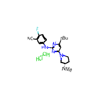 CCCCc1cc(N2CC[C@H](NC)C2)nc(Nc2ccc(F)c(C#N)c2)n1.Cl.Cl